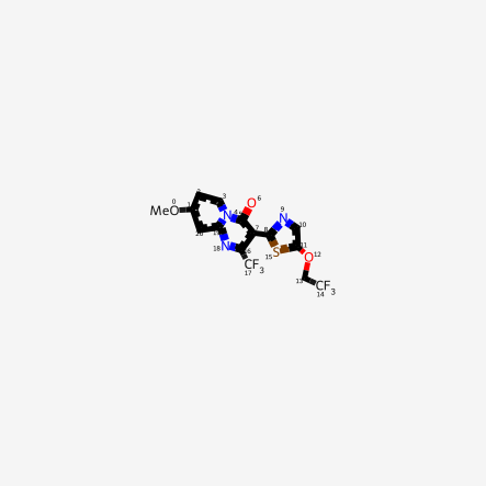 COc1ccn2c(=O)c(-c3ncc(OCC(F)(F)F)s3)c(C(F)(F)F)nc2c1